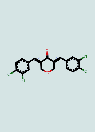 O=C1/C(=C/c2ccc(Cl)c(Cl)c2)COC/C1=C\c1ccc(Cl)c(Cl)c1